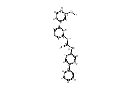 COc1cc(-c2cccc(CC(=O)Nc3ccc(-c4ccccc4)nc3)c2)ccn1